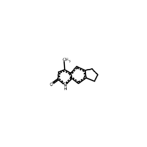 Cc1cc(=O)[nH]c2cc3c(cc12)CCC3